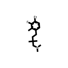 CCc1ccc(CCC(C)(C)CN(C)C)c(C)c1F